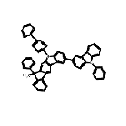 CC1(c2ccccc2)c2ccccc2-c2cc3c4cc(-c5ccc6c(c5)c5ccccc5n6-c5ccccc5)ccc4n(-c4ccc(-c5ccccc5)cc4)c3cc21